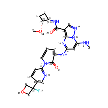 CNc1cc(Nc2cccn(-c3ccc(C4(F)COC4)cn3)c2=O)nc2c(C(=O)N[C@@H]3CC[C@H]3OC)cnn12